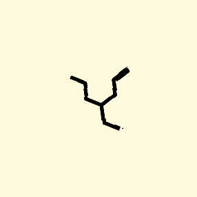 [CH2]CC(CC=C)CCC